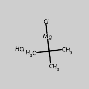 C[C](C)(C)[Mg][Cl].Cl